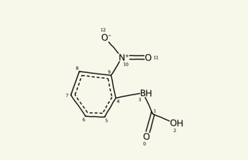 O=C(O)Bc1ccccc1[N+](=O)[O-]